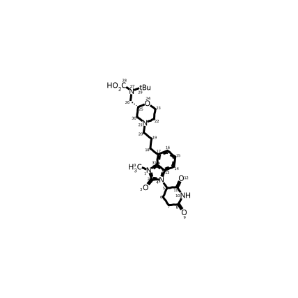 Cn1c(=O)n(C2CCC(=O)NC2=O)c2cccc(CCCN3CCO[C@@H](CN(C(=O)O)C(C)(C)C)C3)c21